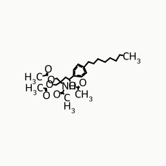 CCCCCCCCc1ccc(C(CC(COC(C)=O)(COC(C)=O)NC(C)=O)OC(C)=O)cc1